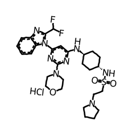 Cl.O=S(=O)(CCN1CCCC1)N[C@H]1CC[C@H](Nc2cc(-n3c(C(F)F)nc4ccccc43)nc(N3CCOCC3)n2)CC1